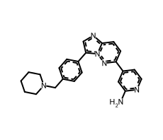 Nc1cc(-c2ccc3ncc(-c4ccc(CN5CCCCC5)cc4)n3n2)ccn1